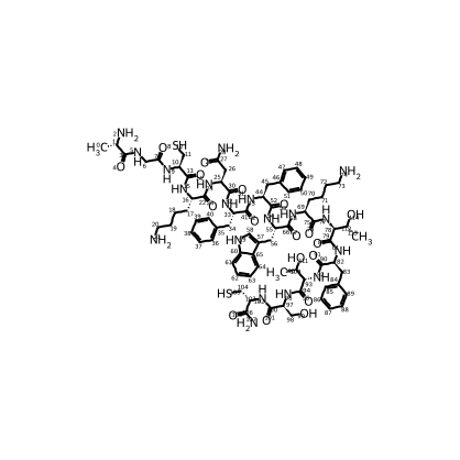 C[C@H](N)C(=O)NCC(=O)N[C@@H](CS)C(=O)N[C@@H](CCCCN)C(=O)N[C@@H](CC(N)=O)C(=O)N[C@@H](Cc1ccccc1)C(=O)N[C@@H](Cc1ccccc1)C(=O)N[C@@H](Cc1c[nH]c2ccccc12)C(=O)N[C@@H](CCCCN)C(=O)N[C@H](C(=O)N[C@@H](Cc1ccccc1)C(=O)N[C@H](C(=O)N[C@@H](CO)C(=O)N[C@@H](CS)C(N)=O)[C@@H](C)O)[C@@H](C)O